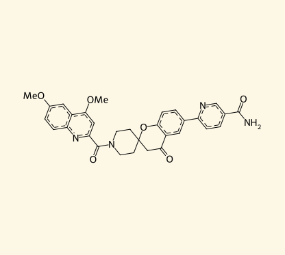 COc1ccc2nc(C(=O)N3CCC4(CC3)CC(=O)c3cc(-c5ccc(C(N)=O)cn5)ccc3O4)cc(OC)c2c1